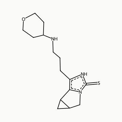 S=c1[nH]c(CCCNC2CCOCC2)c2n1CC1CC21